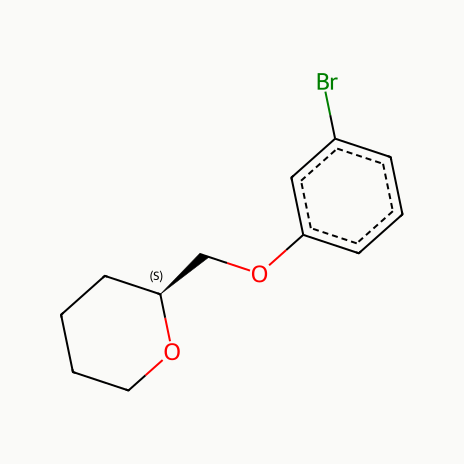 Brc1cccc(OC[C@@H]2CCCCO2)c1